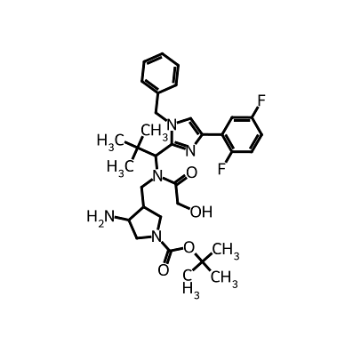 CC(C)(C)OC(=O)N1CC(N)C(CN(C(=O)CO)C(c2nc(-c3cc(F)ccc3F)cn2Cc2ccccc2)C(C)(C)C)C1